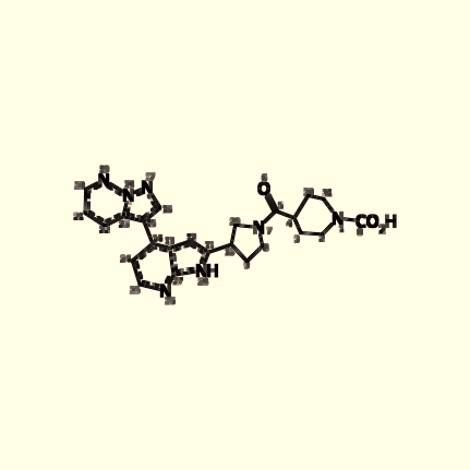 O=C(O)N1CCC(C(=O)N2CCC(c3cc4c(-c5cnn6ncccc56)ccnc4[nH]3)C2)CC1